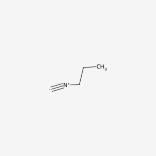 [C]#[N+]CCC